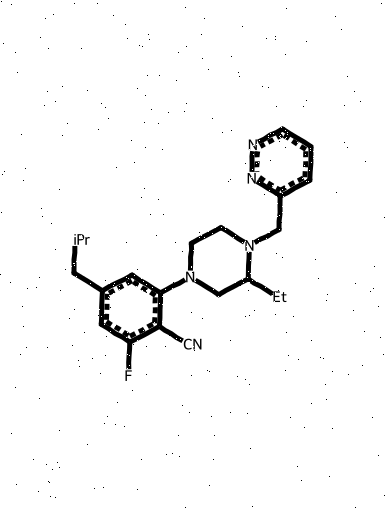 CCC1CN(c2cc(CC(C)C)cc(F)c2C#N)CCN1Cc1cccnn1